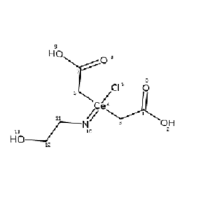 O=C(O)[CH2][Ce]([Cl])([CH2]C(=O)O)=[N]CCO